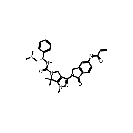 C=CC(=O)Nc1ccc2c(c1)CN(c1nn(C)c3c1CN(C(=O)N[C@H](CN(C)C)c1ccccc1)C3(C)C)C2=O